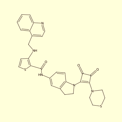 O=C(Nc1ccc2c(c1)CCN2c1c(N2CCSCC2)c(=O)c1=O)c1sccc1NCc1ccnc2ccccc12